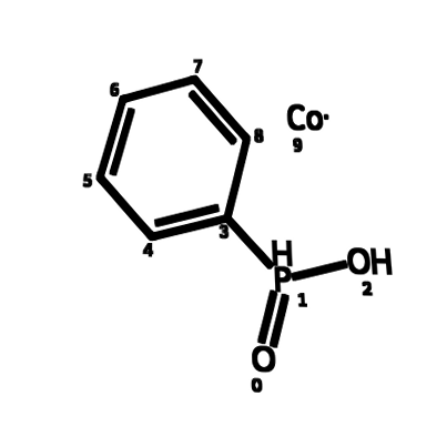 O=[PH](O)c1ccccc1.[Co]